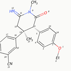 CCOc1ccc([C@H]2C(=O)N(C)C(=N)C[C@]2(C)c2cccc(C#N)c2)cc1